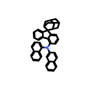 c1ccc2c(c1)-c1c(N(c3ccc4ccccc4c3)c3cccc4ccccc34)cccc1C21C2CC3CC(C2)CC1C3